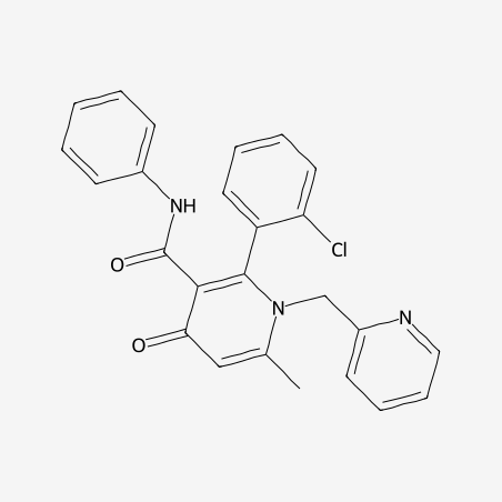 Cc1cc(=O)c(C(=O)Nc2ccccc2)c(-c2ccccc2Cl)n1Cc1ccccn1